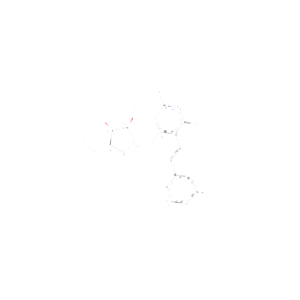 Nc1nc(Cl)c(/C=C/c2cc(F)cc(F)c2)c(N[C@@H]2C[C@H](CO)[C@@H](O)[C@H]2O)n1